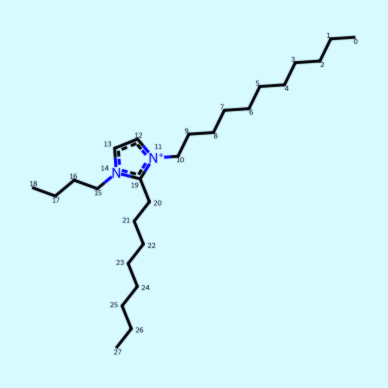 CCCCCCCCCCC[n+]1ccn(CCCC)c1CCCCCCCC